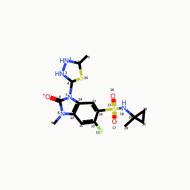 CC1NNC(n2c(=O)n(C)c3cc(F)c(S(=O)(=O)NC4(C)CC4)cc32)S1